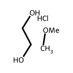 COC.Cl.OCCO